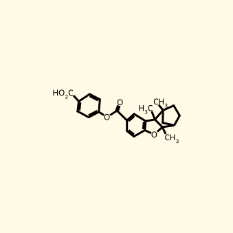 CC12CCC(C1)C1(C)Oc3ccc(C(=O)Oc4ccc(C(=O)O)cc4)cc3C21C